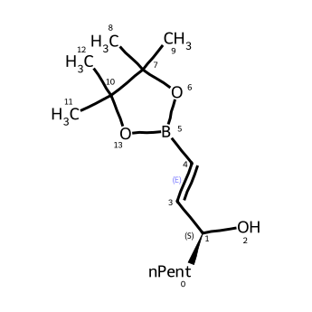 CCCCC[C@H](O)/C=C/B1OC(C)(C)C(C)(C)O1